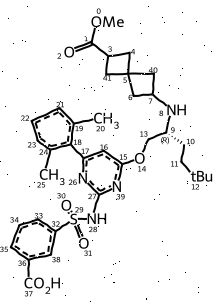 COC(=O)C1CC2(CC(N[C@H](CCC(C)(C)C)COc3cc(-c4c(C)cccc4C)nc(NS(=O)(=O)c4cccc(C(=O)O)c4)n3)C2)C1